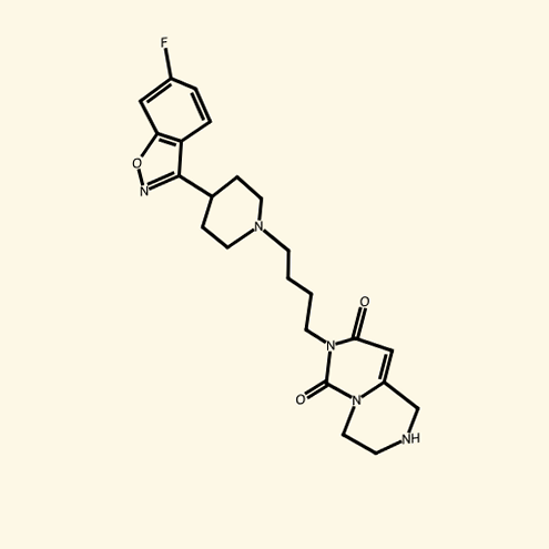 O=c1cc2n(c(=O)n1CCCCN1CCC(c3noc4cc(F)ccc34)CC1)CCNC2